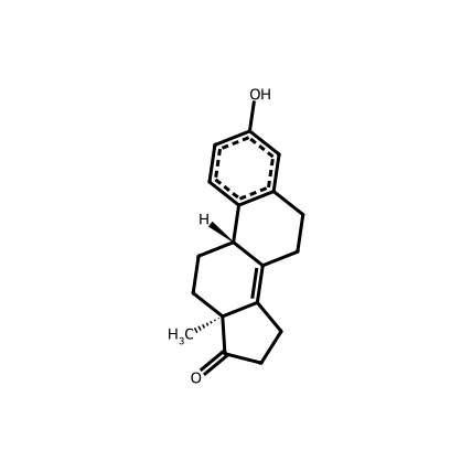 C[C@]12CC[C@H]3C(=C1CCC2=O)CCc1cc(O)ccc13